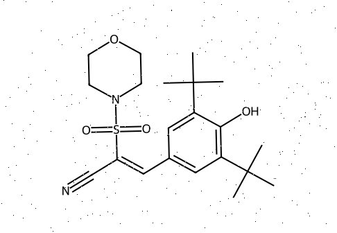 CC(C)(C)c1cc(C=C(C#N)S(=O)(=O)N2CCOCC2)cc(C(C)(C)C)c1O